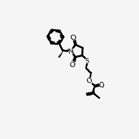 C=C(C)C(=O)OCCSC1CC(=O)N([C@@H](C)c2ccccc2)C1=O